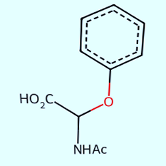 CC(=O)NC(Oc1ccccc1)C(=O)O